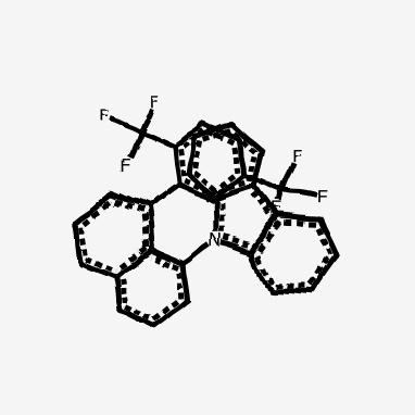 FC(F)(F)c1ccc(C(F)(F)F)c(-c2cccc3cccc(-n4c5ccccc5c5ccccc54)c23)c1